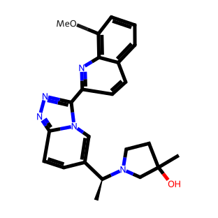 COc1cccc2ccc(-c3nnc4ccc([C@H](C)N5CCC(C)(O)C5)cn34)nc12